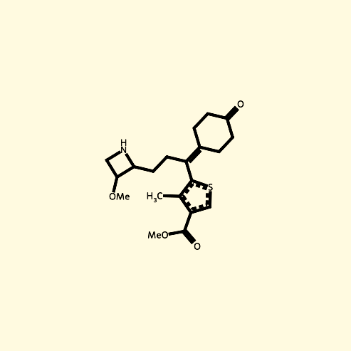 COC(=O)c1csc(C(CCC2NCC2OC)=C2CCC(=O)CC2)c1C